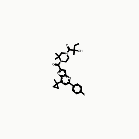 CCC(C)(O)C(=O)N1CCN(C(=O)c2cc3nc(-c4ccc(F)cc4)cc(C4(C)CC4)c3o2)C(C)(C)C1